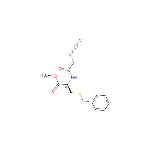 COC(=O)[C@H](CSCc1ccccc1)NC(=O)CN=[N+]=[N-]